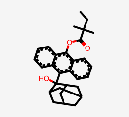 CCC(C)(C)C(=O)Oc1c2ccccc2c(C2(O)C3CC4CC(C3)CC2C4)c2ccccc12